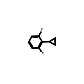 Fc1[c]ccc(F)c1C1CC1